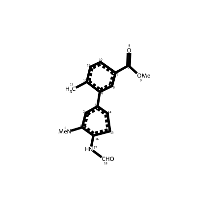 CNc1cc(-c2cc(C(=O)OC)ccc2C)ccc1NC=O